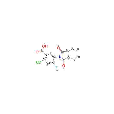 O=C(O)c1cc(N2C(=O)C3CCCCC3C2=O)c(F)cc1Cl